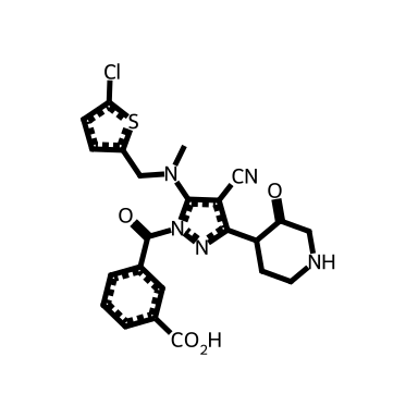 CN(Cc1ccc(Cl)s1)c1c(C#N)c(C2CCNCC2=O)nn1C(=O)c1cccc(C(=O)O)c1